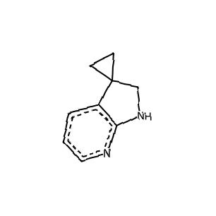 c1cnc2c(c1)C1(CC1)CN2